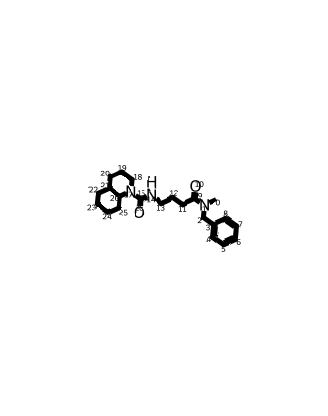 CN(Cc1ccccc1)C(=O)CCCNC(=O)N1CCCC2CCCCC21